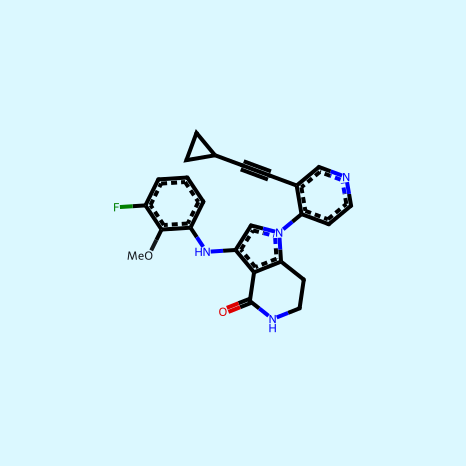 COc1c(F)cccc1Nc1cn(-c2ccncc2C#CC2CC2)c2c1C(=O)NCC2